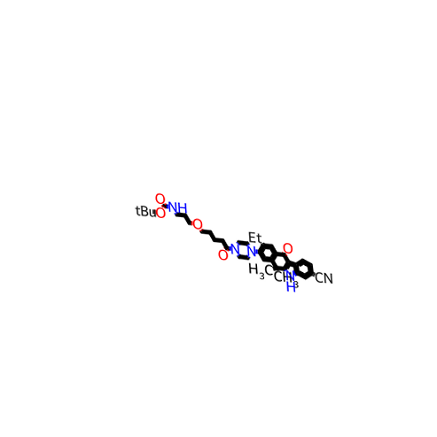 CCc1cc2c(cc1N1CCN(C(=O)CCCCOCCCNC(=O)OC(C)(C)C)CC1)C(C)(C)c1[nH]c3cc(C#N)ccc3c1C2=O